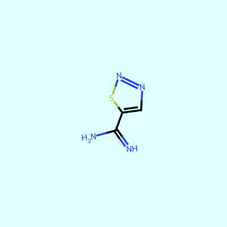 N=C(N)c1cnns1